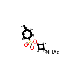 CC(=O)NC1CC(OS(=O)(=O)c2ccc(C)cc2)C1